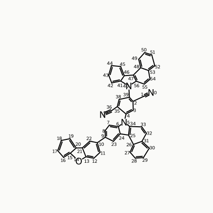 N#Cc1cc(-n2c3ccc(-c4ccc5oc6ccccc6c5c4)cc3c3c4ccccc4ccc32)c(C#N)cc1-n1c2ccccc2c2c3ccccc3ccc21